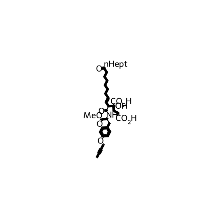 CC#CCOc1ccc(C[C@H](NC(=O)[C@@H](/C=C/CCCCCCC(=O)CCCCCCC)[C@@](O)(CCC(=O)O)C(=O)O)C(=O)OC)cc1